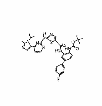 Cc1ncc(-c2ccnc(Nc3ncc(C(=O)Nc4cc(-c5ccc(F)cc5)ccc4NC(=O)OC(C)(C)C)s3)n2)n1C(C)C